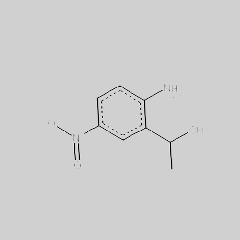 CC(O)c1cc([N+](=O)[O-])ccc1N